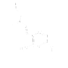 CCOC(=O)C=Cc1ncc(OC)nc1N